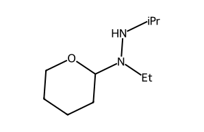 CCN(NC(C)C)C1CCCCO1